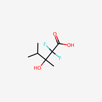 CC(C)C(C)(O)C(F)(F)C(=O)O